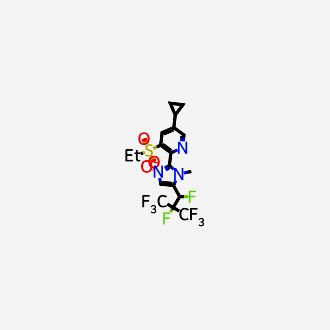 CCS(=O)(=O)c1cc(C2CC2)cnc1-c1n(C)c(C(F)C(F)(C(F)(F)F)C(F)(F)F)c[n+]1[O-]